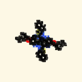 [C-]#[N+]/C(c1nc2ccc3ccccc3c2s1)=c1/[nH]c(-c2ccc(OCC(CC)CCCC)cc2)c2/c(=C(\C#N)c3nc4ccc5ccccc5c4s3)[nH]c(-c3ccc(OCC(CC)CCCC)cc3)c12